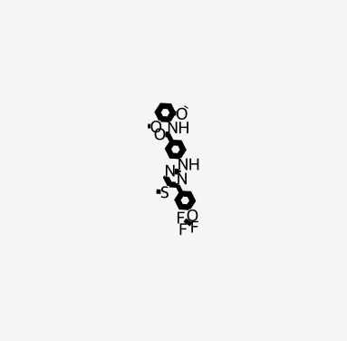 COc1cccc(OC)c1NC(=O)c1ccc(Nc2ncc(SC)c(-c3ccc(OC(F)(F)F)cc3)n2)cc1